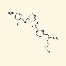 COCCN(C)Cc1cccc(-c2cc3nccc(Oc4ccc(N)cc4F)c3s2)n1